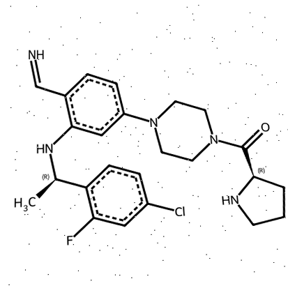 C[C@@H](Nc1cc(N2CCN(C(=O)[C@H]3CCCN3)CC2)ccc1C=N)c1ccc(Cl)cc1F